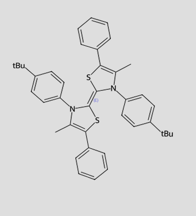 CC1=C(c2ccccc2)S/C(=C2/SC(c3ccccc3)=C(C)N2c2ccc(C(C)(C)C)cc2)N1c1ccc(C(C)(C)C)cc1